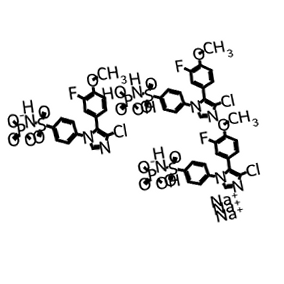 COc1ccc(-c2c(Cl)ncn2-c2ccc(S(=O)(=O)NP(=O)(O)O)cc2)cc1F.COc1ccc(-c2c(Cl)ncn2-c2ccc(S(=O)(=O)NP(=O)([O-])O)cc2)cc1F.COc1ccc(-c2c(Cl)ncn2-c2ccc(S(=O)(=O)NP(=O)([O-])[O-])cc2)cc1F.[Na+].[Na+].[Na+]